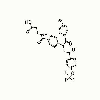 O=C(O)CCNC(=O)c1ccc(C(CC(=O)c2ccc(OC(F)(F)F)cc2)C(=O)c2ccc(Br)cc2)cc1